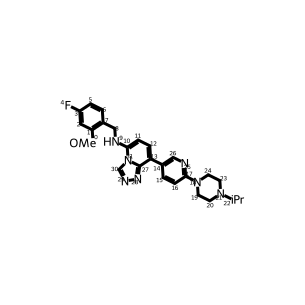 COc1cc(F)ccc1CNc1ccc(-c2ccc(N3CCN(C(C)C)CC3)nc2)c2nncn12